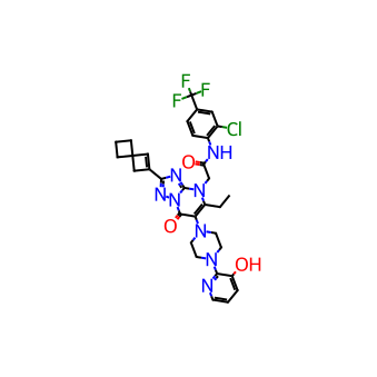 CCc1c(N2CCN(c3ncccc3O)CC2)c(=O)n2nc(C3=CC4(CCC4)C3)nc2n1CC(=O)Nc1ccc(C(F)(F)F)cc1Cl